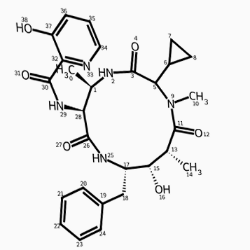 C[C@H]1NC(=O)C(C2CC2)N(C)C(=O)[C@H](C)[C@H](O)[C@H](Cc2ccccc2)NC(=O)[C@H]1NC(=O)c1ncccc1O